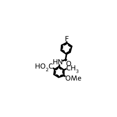 COc1ccc(C(=O)O)c(NC(=O)c2ccc(F)cc2)c1C